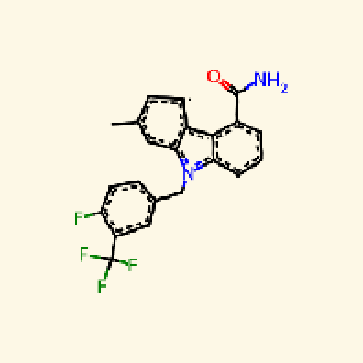 Cc1c[c]c2c3c(C(N)=O)cccc3n(Cc3ccc(F)c(C(F)(F)F)c3)c2c1